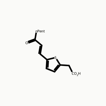 CCCCCC(=O)C=Cc1ccc(CC(=O)O)s1